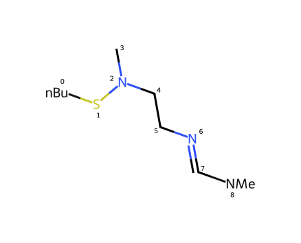 CCCCSN(C)CC/N=C/NC